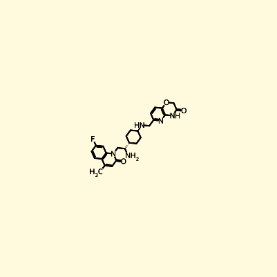 Cc1cc(=O)n(CC(N)[C@H]2CC[C@H](NCc3ccc4c(n3)NC(=O)CO4)CC2)c2cc(F)ccc12